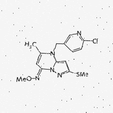 CO/N=c1\cc(C)n(Cc2ccc(Cl)nc2)c2cc(SC)nn12